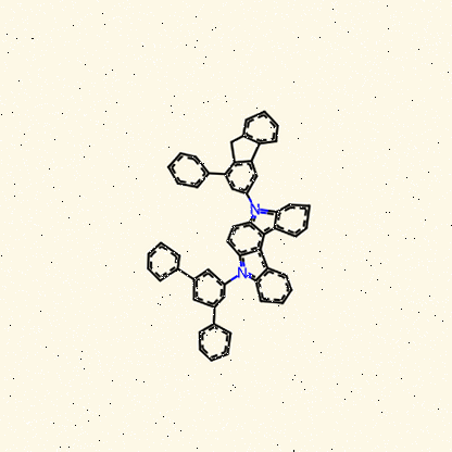 c1ccc(-c2cc(-c3ccccc3)cc(-n3c4ccccc4c4c5c6ccccc6n(-c6cc(-c7ccccc7)c7c(c6)-c6ccccc6C7)c5ccc43)c2)cc1